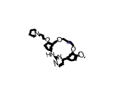 COc1ccc2cc1OC/C=C/COCc1cc(ccc1OCCN1CCCC1)Nc1nccc-2n1